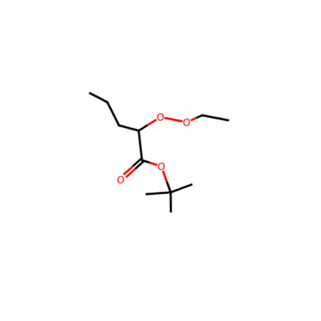 CCCC(OOCC)C(=O)OC(C)(C)C